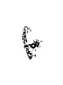 CCOC(=O)CN1CCC(N2CCN(C(=O)[C@@H](Cc3cc(Cl)c(N)c(C(F)(F)F)c3)OC(=O)N3CCC(N4CCc5ccccc5NC4=O)CC3)CC2)CC1.O=S(=O)(O)O